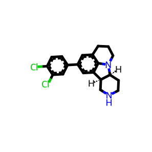 Clc1ccc(-c2cc3c4c(c2)[C@@H]2CNCC[C@@H]2N4CCC3)cc1Cl